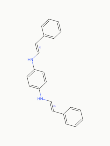 C(=C\c1ccccc1)/Nc1ccc(N/C=C/c2ccccc2)cc1